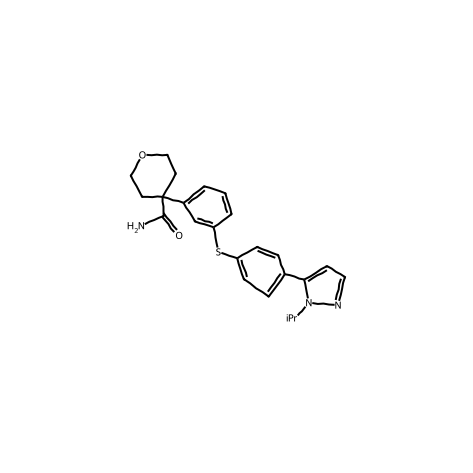 CC(C)n1nccc1-c1ccc(Sc2cccc(C3(C(N)=O)CCOCC3)c2)cc1